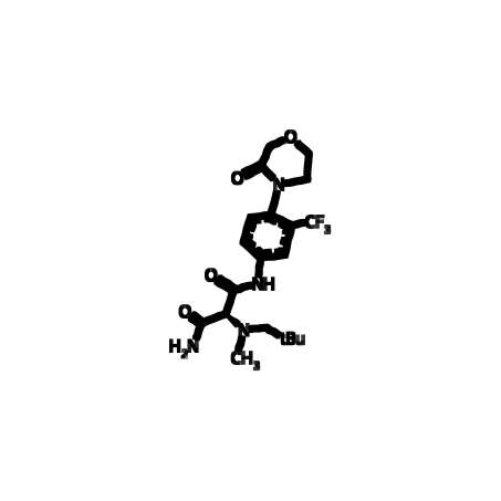 CN(CC(C)(C)C)[C@@H](C(N)=O)C(=O)Nc1ccc(N2CCOCC2=O)c(C(F)(F)F)c1